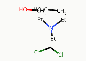 CC(=O)O.CCN(CC)CC.CO.ClCCl